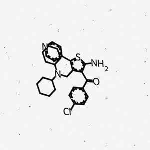 Nc1sc(-c2ccncc2)c(CN(C2CCCCC2)C2CCCCC2)c1C(=O)c1ccc(Cl)cc1